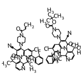 C=CC(=O)N1CCN(c2c(C#N)c(=O)n(-c3c(C(C)C)ccnc3C(C)C)c3nc(-c4ccccc4F)c(Cl)cc23)CC1.CC(C)c1ccnc(C(C)C)c1-n1c(=O)c(C#N)c(N2CCN(C(=O)OC(C)(C)C)CC2)c2cc(Cl)c(-c3ccccc3F)nc21